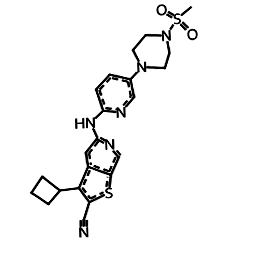 CS(=O)(=O)N1CCN(c2ccc(Nc3cc4c(C5CCC5)c(C#N)sc4cn3)nc2)CC1